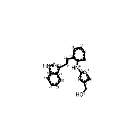 OCc1csc(Nc2ccccc2/C=C/c2n[nH]c3ccccc23)n1